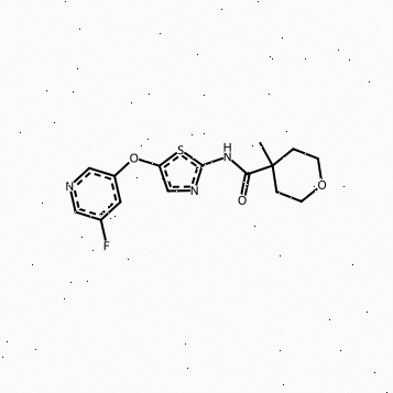 CC1(C(=O)Nc2ncc(Oc3cncc(F)c3)s2)CCOCC1